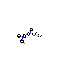 CCC(C)c1ccc(N(c2ccccc2)c2ccc(-c3ccc(N(c4ccccc4)c4cccc(C)c4)cc3)cc2)cc1C